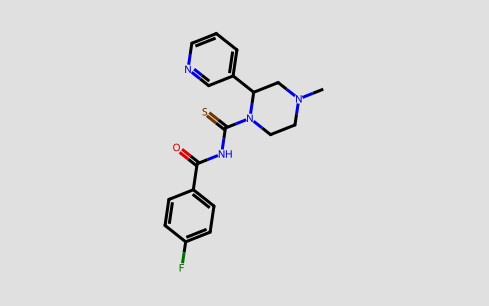 CN1CCN(C(=S)NC(=O)c2ccc(F)cc2)C(c2cccnc2)C1